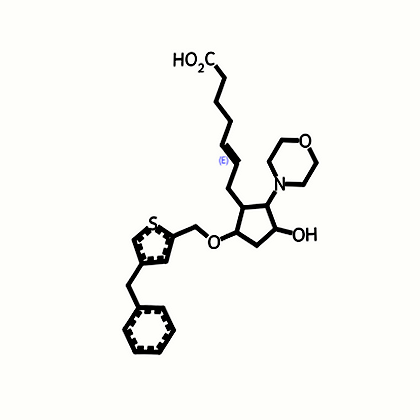 O=C(O)CCC/C=C/CC1C(OCc2cc(Cc3ccccc3)cs2)CC(O)C1N1CCOCC1